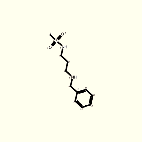 CS(=O)(=O)NCCCNCc1ccccc1